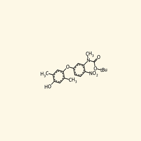 Cc1cc(Oc2ccc([N+](=O)[O-])c(N(C)C(=O)OC(C)(C)C)c2)c(C)cc1O